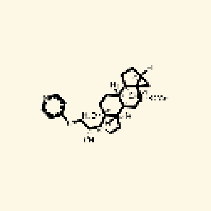 CO[C@@H]1C[C@H]2[C@@H]3CC[C@H]([C@H](C)COc4ccncc4)[C@@]3(C)CC[C@@H]2[C@@]2(C)CC[C@@H]3CC312